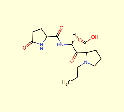 CCCN1CCC[C@]1(C(=O)O)C(=O)[C@H](C)NC(=O)[C@@H]1CCC(=O)N1